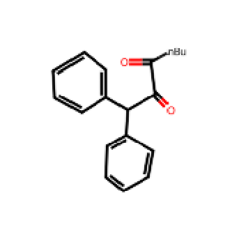 CCCCC(=O)C(=O)C(c1ccccc1)c1ccccc1